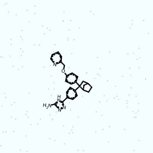 Nc1nnc(-c2ccc(C3(c4ccc(OCc5ccccn5)cc4)CC4CCC3C4)cc2)[nH]1